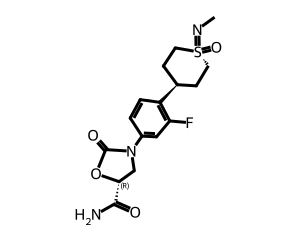 CN=[S@]1(=O)CC[C@@H](c2ccc(N3C[C@H](C(N)=O)OC3=O)cc2F)CC1